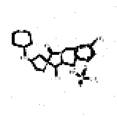 CC1C2[C@@H](NS(C)(=O)=O)c3ccc(C(F)(F)F)cc3CN2C(=O)[C@]12CC[C@@H](NC1CCOCC1)C2